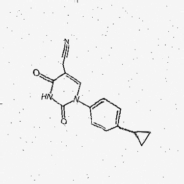 N#Cc1cn(-c2ccc(C3CC3)cc2)c(=O)[nH]c1=O